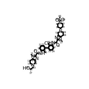 Cc1c(NC(=O)c2nc3c(n2C)CCN(C[C@H](C)O)C3)cccc1-c1cccc(NC(=O)c2nc3c(n2C)CCN(C2CCN(S(C)(=O)=O)CC2)C3)c1Cl